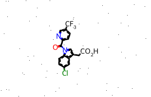 O=C(O)Cc1cn(C(=O)c2ccc(C(F)(F)F)cn2)c2ccc(Cl)cc12